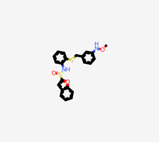 CONc1cccc(CSc2ccccc2N[S+]([O-])c2cc3ccccc3o2)c1